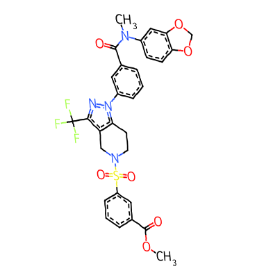 COC(=O)c1cccc(S(=O)(=O)N2CCc3c(c(C(F)(F)F)nn3-c3cccc(C(=O)N(C)c4ccc5c(c4)OCO5)c3)C2)c1